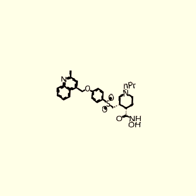 CCCN1CC[C@H](C(=O)NO)[C@H](CS(=O)(=O)c2ccc(OCc3cc(C)nc4ccccc34)cc2)C1